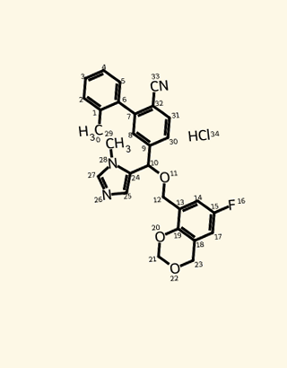 Cc1ccccc1-c1cc(C(OCc2cc(F)cc3c2OCOC3)c2cncn2C)ccc1C#N.Cl